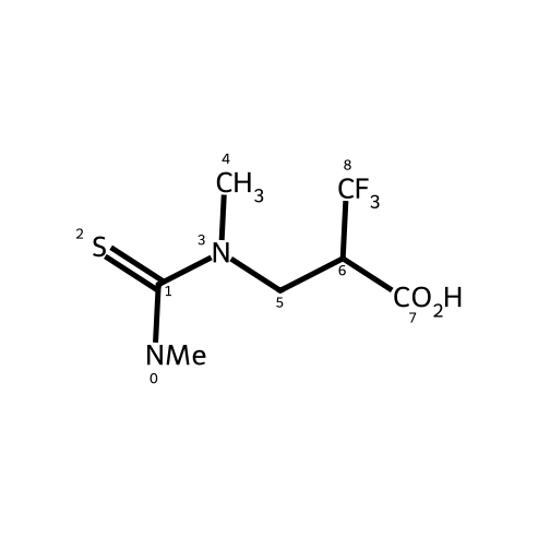 CNC(=S)N(C)CC(C(=O)O)C(F)(F)F